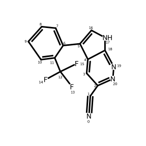 N#Cc1cc2c(-c3ccccc3C(F)(F)F)c[nH]c2nn1